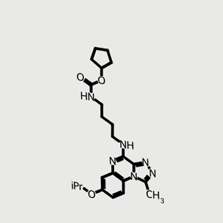 Cc1nnc2c(NCCCCNC(=O)OC3CCCC3)nc3cc(OC(C)C)ccc3n12